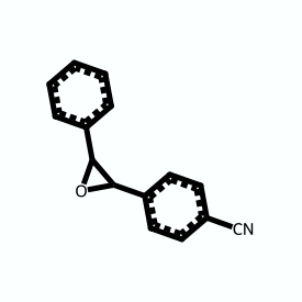 N#Cc1ccc(C2OC2c2ccccc2)cc1